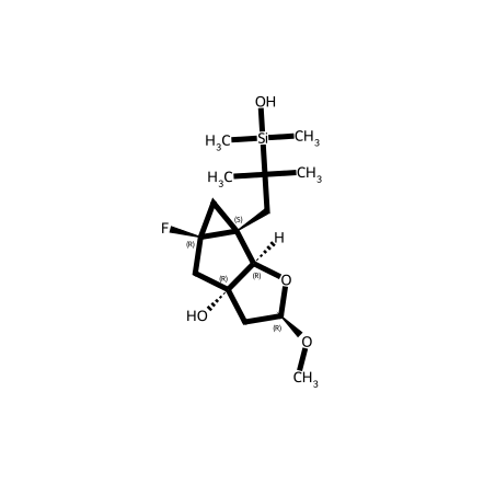 CO[C@H]1C[C@@]2(O)C[C@]3(F)C[C@]3(CC(C)(C)[Si](C)(C)O)[C@H]2O1